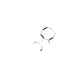 C=CN(CC)C1=C/C=C\CC/C=C\1C